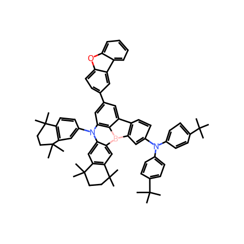 CC(C)(C)c1ccc(N(c2ccc(C(C)(C)C)cc2)c2ccc3c(c2)B2c4cc5c(cc4N(c4ccc6c(c4)C(C)(C)CCC6(C)C)c4cc(-c6ccc7oc8ccccc8c7c6)cc-3c42)C(C)(C)CCC5(C)C)cc1